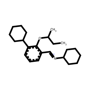 CCC(C)Oc1c(/C=N/C2CCCCC2)cccc1C1CCCCC1